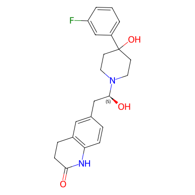 O=C1CCc2cc(C[C@H](O)N3CCC(O)(c4cccc(F)c4)CC3)ccc2N1